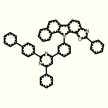 c1ccc(-c2ccc(-c3nc(-c4ccccc4)cc(-c4cccc(-n5c6c7ccccc7ccc6c6ccc7nc(-c8ccccc8)oc7c65)c4)n3)cc2)cc1